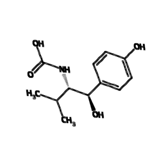 CC(C)[C@H](NC(=O)O)[C@H](O)c1ccc(O)cc1